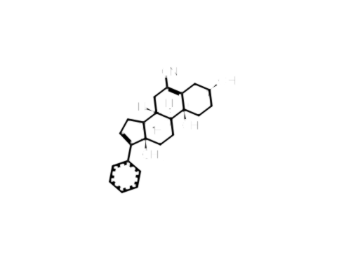 C[C@]12CC[C@H](O)CC1=C(C#N)C[C@@H]1[C@@H]2CC[C@]2(C)C(c3ccccc3)=CC[C@@H]12